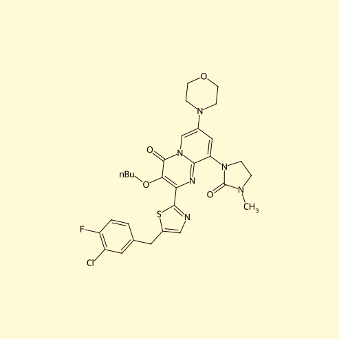 CCCCOc1c(-c2ncc(Cc3ccc(F)c(Cl)c3)s2)nc2c(N3CCN(C)C3=O)cc(N3CCOCC3)cn2c1=O